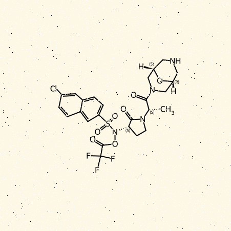 C[C@@H](C(=O)N1C[C@H]2CNC[C@@H](C1)O2)N1CC[C@H](N(OC(=O)C(F)(F)F)S(=O)(=O)c2ccc3cc(Cl)ccc3c2)C1=O